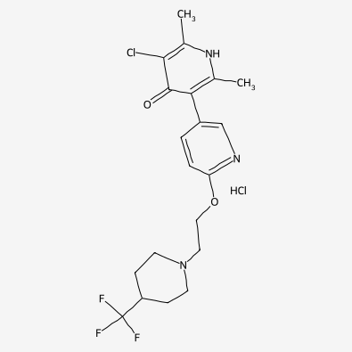 Cc1[nH]c(C)c(-c2ccc(OCCN3CCC(C(F)(F)F)CC3)nc2)c(=O)c1Cl.Cl